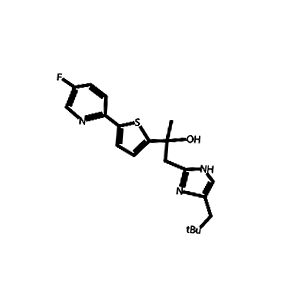 CC(C)(C)Cc1c[nH]c(CC(C)(O)c2ccc(-c3ccc(F)cn3)s2)n1